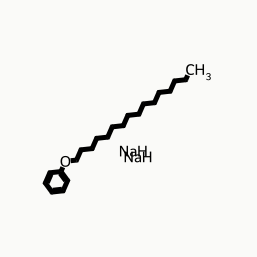 CCCCCCCCCCCCCCCCOc1ccccc1.[NaH].[NaH]